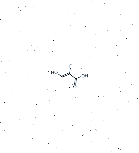 O=C(O)/C(F)=C/O